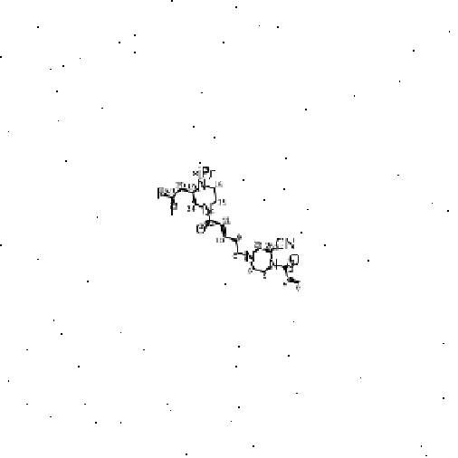 C=CC(=O)N1CCN(CC/C=C/C(=O)N2CCN(C(C)C)C(CC(F)F)C2)CC1C#N